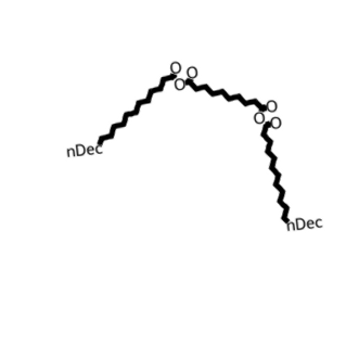 CCCCCCCCCCCCCCCCCCCCCC(=O)OC(=O)CCCCCCCCC(=O)OC(=O)CCCCCCCCCCCCCCCCCCCCC